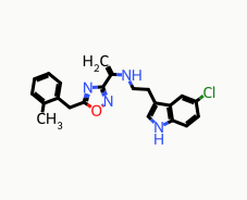 C=C(NCCc1c[nH]c2ccc(Cl)cc12)c1noc(Cc2ccccc2C)n1